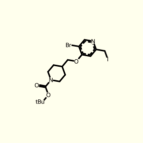 CC(C)(C)OC(=O)N1CCC(COc2cc(CI)ncc2Br)CC1